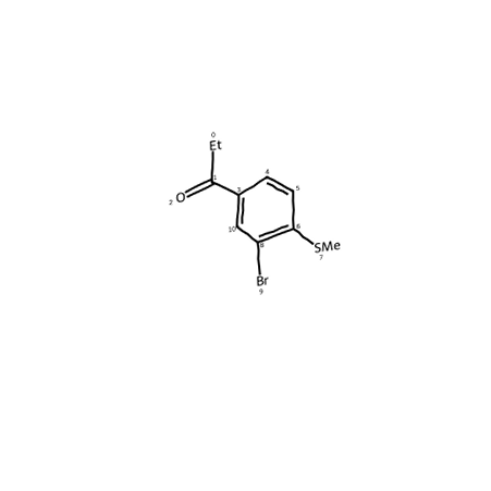 CCC(=O)c1ccc(SC)c(Br)c1